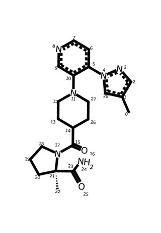 Cc1cnn(-c2ccncc2N2CCC(C(=O)N3CCC[C@]3(C)C(N)=O)CC2)c1